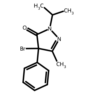 CC1=NN(C(C)C)C(=O)C1(Br)c1ccccc1